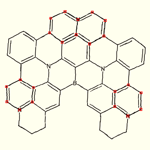 c1ccc(-c2cccc(-c3ccccc3)c2N2c3c(cc4c5c3CCCN5CCC4)B3c4cc5c6c(c4N(c4c(-c7ccccc7)cccc4-c4ccccc4)c4c7c8c(c2c43)CCCN8CCC7)CCCN6CCC5)cc1